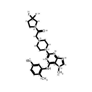 Cc1ccc(C(C)(C)C)cc1Nc1nc(N2CCN(CC(=O)N3CCC(F)(F)C3)CC2)nc2ncn(C)c12